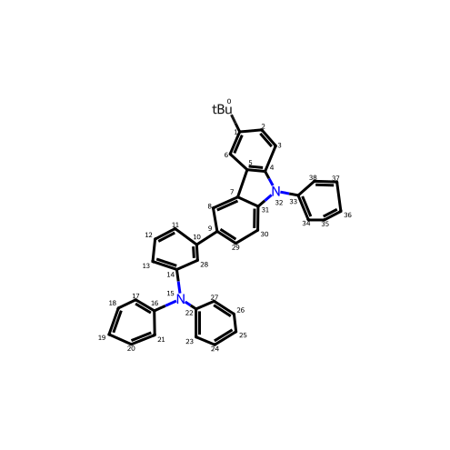 CC(C)(C)c1ccc2c(c1)c1cc(-c3cccc(N(c4ccccc4)c4ccccc4)c3)ccc1n2-c1ccccc1